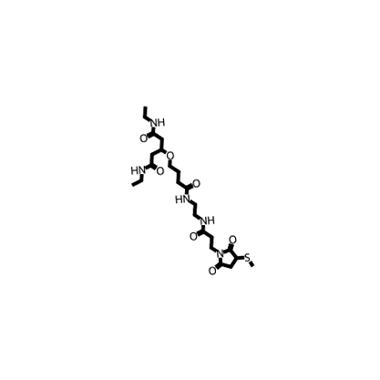 CCNC(=O)CC(CC(=O)NCC)OCCCC(=O)NCCNC(=O)CCN1C(=O)CC(SC)C1=O